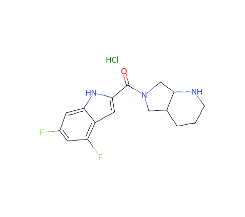 Cl.O=C(c1cc2c(F)cc(F)cc2[nH]1)N1CC2CCCNC2C1